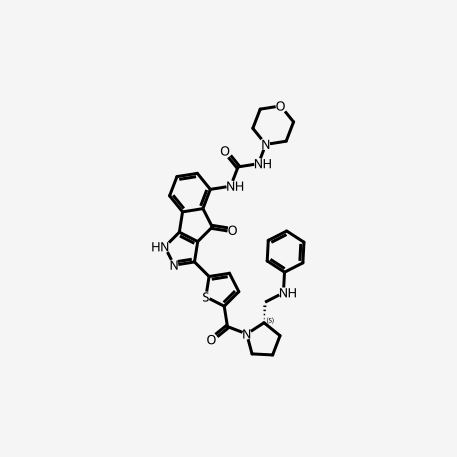 O=C(Nc1cccc2c1C(=O)c1c(-c3ccc(C(=O)N4CCC[C@H]4CNc4ccccc4)s3)n[nH]c1-2)NN1CCOCC1